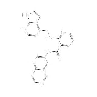 O=C(Nc1cnc2ccncc2c1)c1cccnc1NCc1ccnc2[nH]ccc12